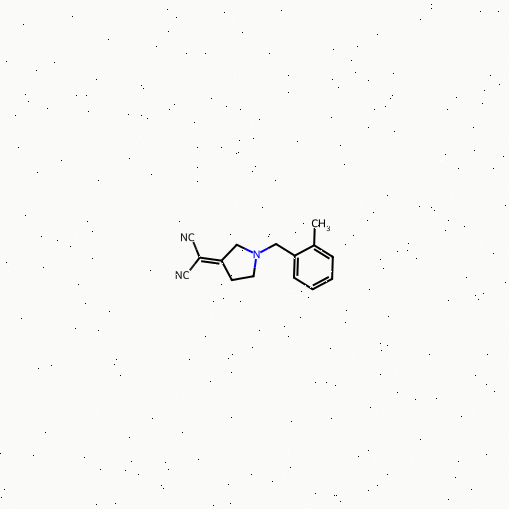 Cc1ccccc1CN1CCC(=C(C#N)C#N)C1